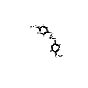 COc1ccc(OBOc2ccc(OC)nc2)cn1